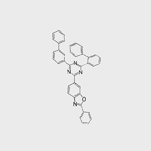 c1ccc(-c2cccc(-c3nc(-c4ccc5nc(-c6ccccc6)oc5c4)nc(-c4ccccc4-c4ccccc4)n3)c2)cc1